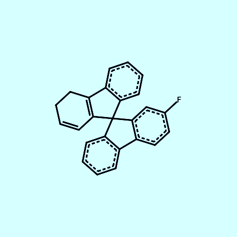 Fc1ccc2c(c1)C1(C3=C(CCC=C3)c3ccccc31)c1ccccc1-2